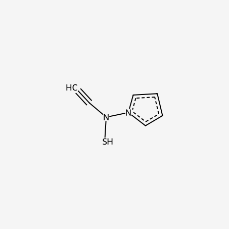 C#CN(S)n1cccc1